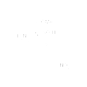 COc1ccccc1N(c1c(N)cccc1Sc1ccc([N+](=O)[O-])cc1)S(=O)(=O)O